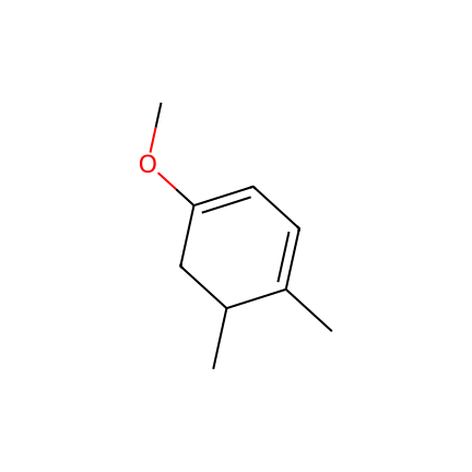 COC1=CC=C(C)C(C)C1